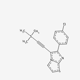 CS(C)(C)C#Cc1c(-c2ccc(Cl)cc2)nc2sccn12